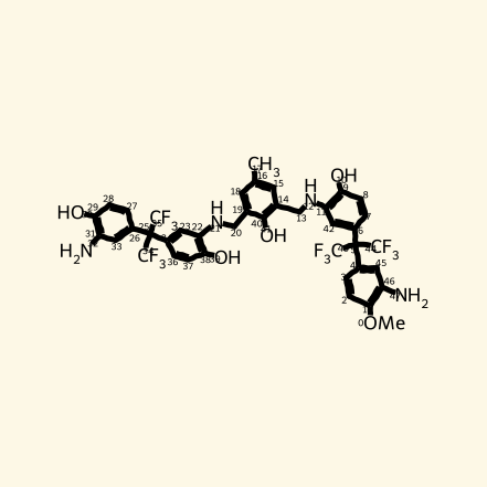 COc1ccc(C(c2ccc(O)c(NCc3cc(C)cc(CNc4cc(C(c5ccc(O)c(N)c5)(C(F)(F)F)C(F)(F)F)ccc4O)c3O)c2)(C(F)(F)F)C(F)(F)F)cc1N